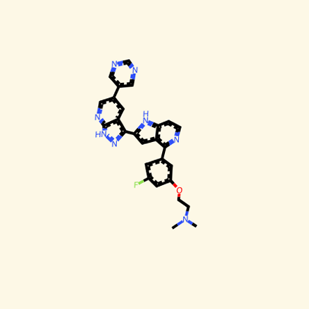 CN(C)CCOc1cc(F)cc(-c2nccc3[nH]c(-c4n[nH]c5ncc(-c6cncnc6)cc45)cc23)c1